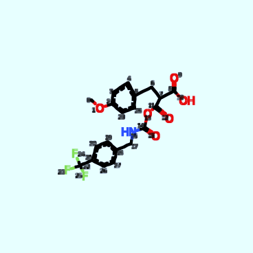 COc1ccc(CC(C(=O)O)C(=O)OC(=O)NCc2ccc(C(F)(F)F)cc2)cc1